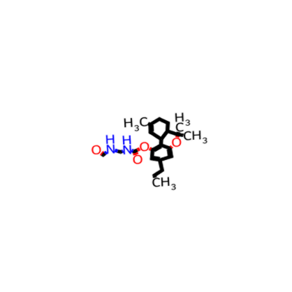 CCCc1cc(OC(=O)NCNC=O)c2c(c1)OC(C)(C)C1CCC(C)=CC21